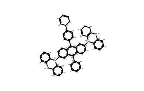 C1=CCC(c2ccc(-c3c4ccc(N5c6ccccc6Oc6ccccc65)cc4c(-c4ccccc4)c4ccc(N5C6=C(CCC=C6)Oc6ccccc65)cc34)cc2)C=C1